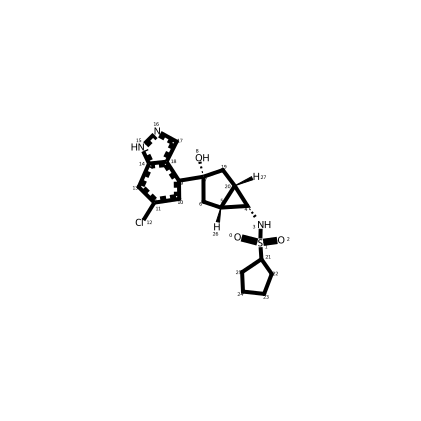 O=S(=O)(N[C@@H]1[C@@H]2C[C@@](O)(c3cc(Cl)cc4[nH]ncc34)C[C@@H]21)C1CCCC1